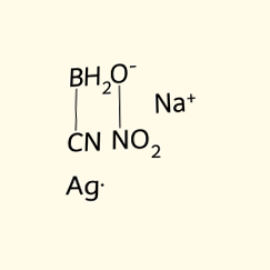 BC#N.O=[N+]([O-])[O-].[Ag].[Na+]